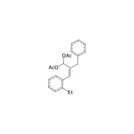 CCc1ccccc1C=C(Cc1ccccc1)C(OC(C)=O)OC(C)=O